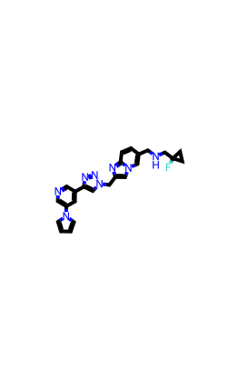 FC1(CNCc2ccc3nc(Cn4cc(-c5cncc(-n6cccc6)c5)nn4)cn3c2)CC1